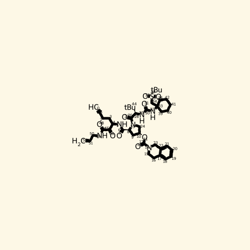 C#CCCC(NC(=O)[C@@H]1C[C@@H](OC(=O)N2CCc3ccccc3C2)CN1C(=O)[C@@H](NC(=O)NC1(CS(=O)(=O)C(C)(C)C)CCCCC1)C(C)(C)C)C(=O)C(=O)NCC=C